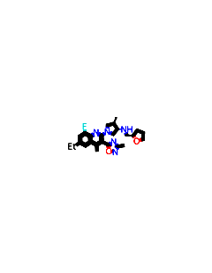 CCc1cc(F)c2nc(N3C[C@@H](C)[C@H](NC[C@H]4CCCO4)C3)c(-c3nc(C)no3)c(C)c2c1